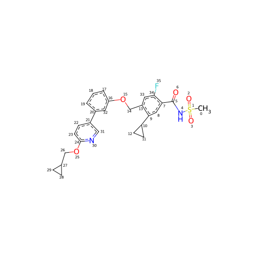 CS(=O)(=O)NC(=O)c1cc(C2CC2)c(COc2cccc(-c3ccc(OCC4CC4)nc3)c2)cc1F